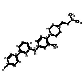 CN(C)CCN1CCN(c2ccc(Nc3nccc(-c4ccc(F)cc4)n3)cc2C(F)(F)F)CC1